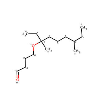 CCC(C)CCCC(C)(CC)OCCCC=O